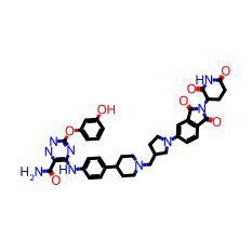 NC(=O)c1nnc(Oc2cccc(O)c2)nc1Nc1ccc(C2CCN(CC3CCN(c4ccc5c(c4)C(=O)N(C4CCC(=O)NC4=O)C5=O)C3)CC2)cc1